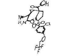 N#CC1(C(N)=O)CC1[C@@]1(C(=O)O)CC[C@H](S(=O)(=O)c2ccc(OCC(F)(F)F)cc2Cl)C1